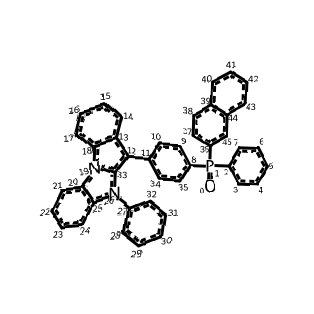 O=P(c1ccccc1)(c1ccc(-c2c3ccccc3n3c4ccccc4n(-c4ccccc4)c23)cc1)c1ccc2ccccc2c1